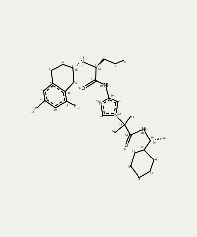 CCC[C@H](N[C@H]1CCc2cc(F)cc(F)c2C1)C(=O)Nc1cn(C(C)(C)C(=O)N[C@H](C)C2CCCCC2)cn1